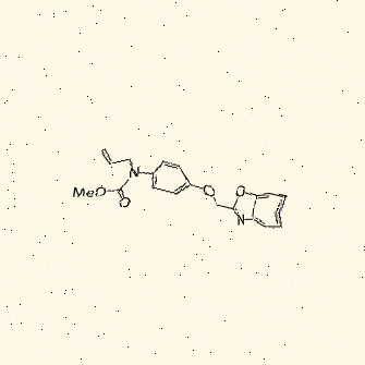 C=CCN(C(=O)OC)c1ccc(OCc2nc3ccccc3o2)cc1